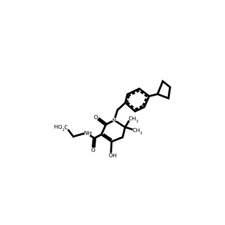 CC1(C)CC(O)=C(C(=O)NCC(=O)O)C(=O)N1Cc1ccc(C2CCC2)cc1